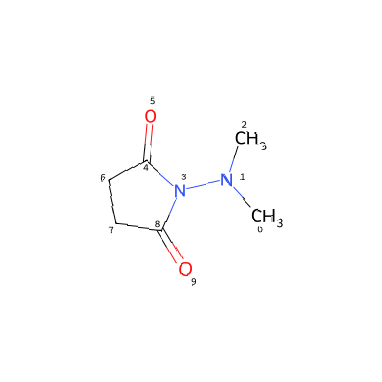 CN(C)N1C(=O)CCC1=O